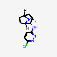 CN1[C@H]2CC[C@H](Nc3ccc(Cl)nn3)[C@@H]1CC2